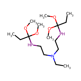 CCN(CCPC(CC)(OC)OC)CCPC(CC)(OC)OC